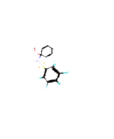 COC1(NS(=O)(=O)c2c(F)c(F)c(F)c(F)c2F)C=CCC=C1